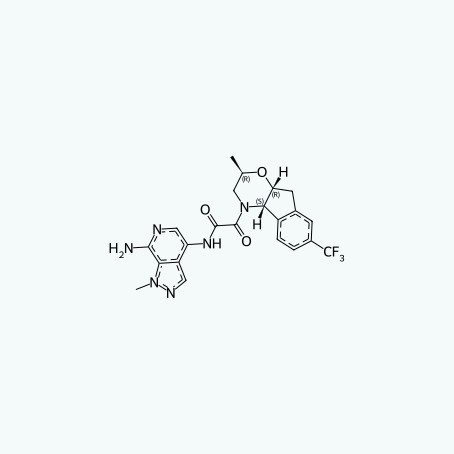 C[C@@H]1CN(C(=O)C(=O)Nc2cnc(N)c3c2cnn3C)[C@H]2c3ccc(C(F)(F)F)cc3C[C@H]2O1